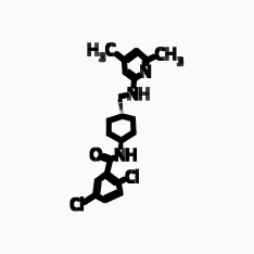 Cc1cc(C)nc(NC[C@H]2CC[C@H](NC(=O)c3cc(Cl)ccc3Cl)CC2)c1